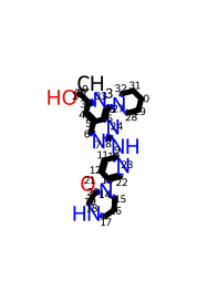 C[C@@H](O)c1cc2cnc(Nc3ccc(N4CCCNCC4=O)cn3)nc2c(N2CCCCC2)n1